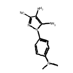 CN(C)c1ccc(-n2nc(C#N)c(N)c2N)cc1